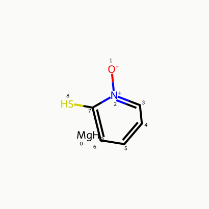 [MgH2].[O-][n+]1ccccc1S